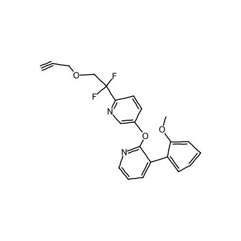 C#CCOCC(F)(F)c1ccc(Oc2ncccc2-c2ccccc2OC)cn1